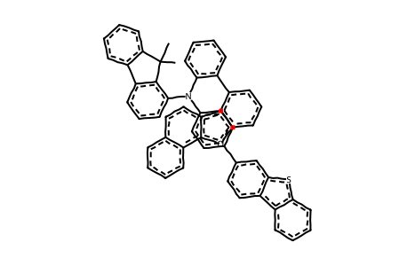 CC1(C)c2ccccc2-c2cccc(N(c3ccc(-c4ccc5c(c4)sc4ccccc45)cc3)c3ccccc3-c3cccc4oc5c6ccccc6ccc5c34)c21